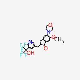 COc1cc2c(cc1N1CCOCC1)CC(Cc1cncc(C(O)(C(F)(F)F)C(F)(F)F)c1)C2=O